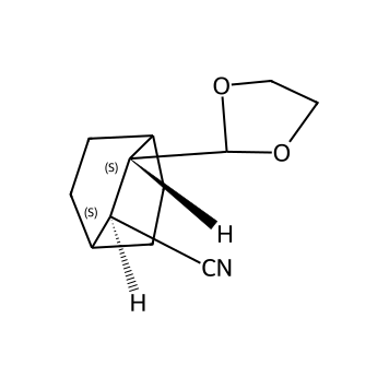 N#C[C@H]1C2CCC(CC2)[C@@H]1C1OCCO1